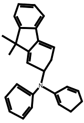 CC1(C)C2=CC(N(C3=CCCC=C3)c3ccccc3)CC=C2c2ccccc21